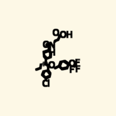 CCC[C@H](c1ccc(C(=O)NCCC(=O)O)cc1)C(OCc1ccc(OC(F)(F)F)cc1)c1ccc(Cl)cc1